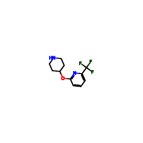 FC(F)(F)c1cccc(OC2CCNCC2)n1